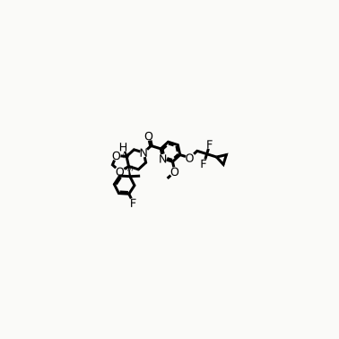 COc1nc(C(=O)N2CC[C@]3(C4(C)C=CC=C(F)C4)OCO[C@@H]3C2)ccc1OCC(F)(F)C1CC1